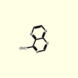 O=[C]c1ncnc2nccnc12